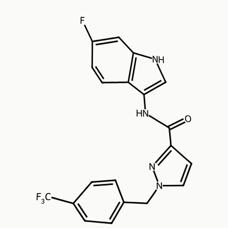 O=C(Nc1c[nH]c2cc(F)ccc12)c1ccn(Cc2ccc(C(F)(F)F)cc2)n1